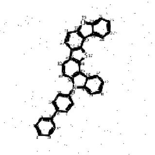 c1ccc(-c2ccc(-n3c4ccccc4c4c5sc6c(ccc7oc8ccccc8c76)c5ccc43)cc2)cc1